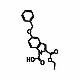 CCOC(=O)c1cc2cc(OCc3ccccc3)ccc2n1C(=O)O